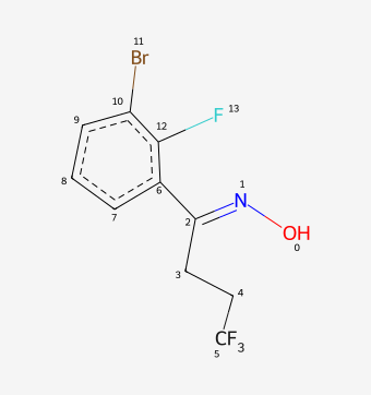 ON=C(CCC(F)(F)F)c1cccc(Br)c1F